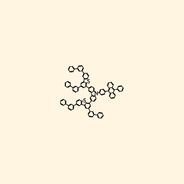 c1ccc(-c2cccc(-c3ccc4sc5c(-c6ccc7c(c6)c6cc(-c8cc(-c9cccc(-c%10ccccc%10)c9)cc9c8sc8ccc(-c%10cccc(-c%11ccccc%11)c%10)cc89)ccc6n7-c6ccc(-c7c8ccccc8c(-c8ccccc8)c8ccccc78)cc6)cc(-c6cccc(-c7ccccc7)c6)cc5c4c3)c2)cc1